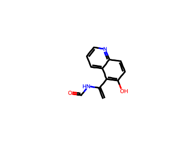 C=C(NC=O)c1c(O)ccc2ncccc12